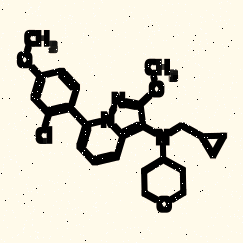 COc1ccc(-c2cccc3c(N(CC4CC4)C4CCOCC4)c(OC)nn23)c(Cl)c1